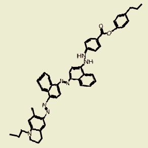 CCCc1ccc(OC(=O)c2ccc(NNc3ccc(/N=N/c4ccc(/N=N/c5cc6c(cc5C)N(CCC)CCC6)c5ccccc45)c4ccccc34)cc2)cc1